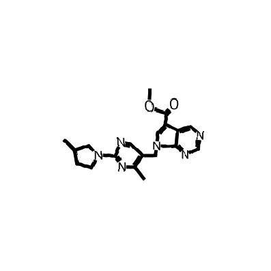 COC(=O)c1cn(Cc2cnc(N3CCC(C)C3)nc2C)c2ncncc12